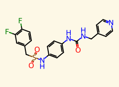 O=C(NCc1ccncc1)Nc1ccc(NS(=O)(=O)Cc2ccc(F)c(F)c2)cc1